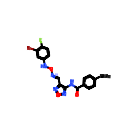 CC(=O)Nc1ccc(C(=O)Nc2nonc2/C=N/ONc2ccc(F)c(Br)c2)cc1